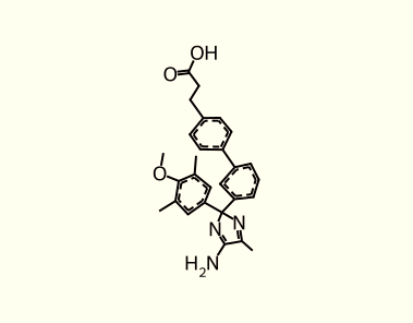 COc1c(C)cc(C2(c3cccc(-c4ccc(CCC(=O)O)cc4)c3)N=C(C)C(N)=N2)cc1C